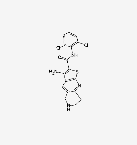 Nc1c(C(=O)Nc2c(Cl)cccc2Cl)sc2nc3c(cc12)CNCC3